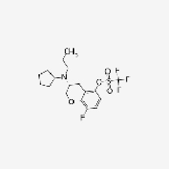 CCCN(C1CCCC1)[C@H]1COc2c(F)ccc(OS(=O)(=O)C(F)(F)F)c2C1